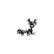 CC(=O)N1CC(c2ccc(OC(F)F)c(OCC3CC3)c2)C[C@@H]1C(=O)NCOC(=O)c1cccnc1